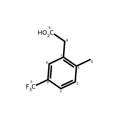 Cc1ccc(C(F)(F)F)cc1CC(=O)O